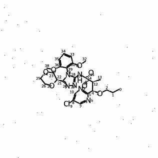 CCCO[C@@H](c1ncc(Cl)cn1)[C@H](C)S(=O)(=O)Nc1nnc([C@@H]2COCCO2)n1-c1c(OC)cccc1OC